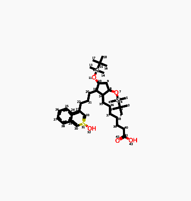 CC(C)(C)[Si](C)(C)OC1CC(O[Si](C)(C)C(C)(C)C)C(CCCC2=c3ccccc3=CS(O)=C2)C1CCCCCCC(=O)O